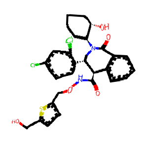 O=C(NOCc1ccc(CO)s1)[C@@H]1c2ccccc2C(=O)N([C@H]2CCCC[C@@H]2O)[C@H]1c1ccc(Cl)cc1Cl